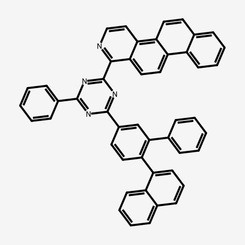 c1ccc(-c2nc(-c3ccc(-c4cccc5ccccc45)c(-c4ccccc4)c3)nc(-c3nccc4c3ccc3c5ccccc5ccc43)n2)cc1